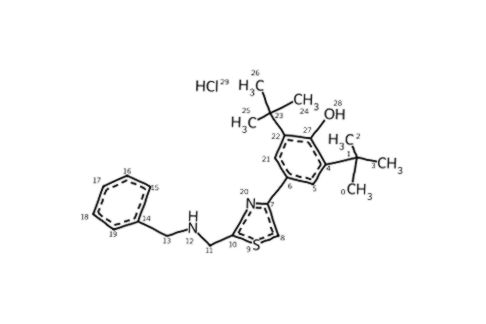 CC(C)(C)c1cc(-c2csc(CNCc3ccccc3)n2)cc(C(C)(C)C)c1O.Cl